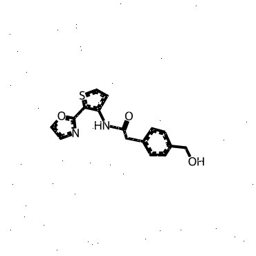 O=C(Cc1ccc(CO)cc1)Nc1ccsc1-c1ncco1